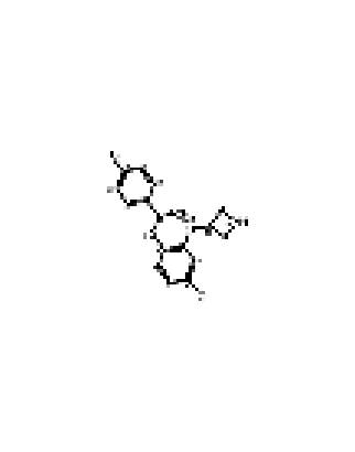 CC(Oc1ccc(Cl)cc1OC1CNC1)c1ccc(F)cc1